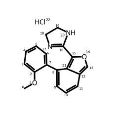 COc1ccccc1-c1cccc2coc(C3=NCCN3)c12.Cl